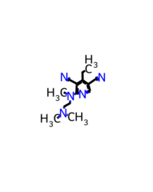 CCc1c(C#N)cnc(N(C)CCN(C)C)c1C#N